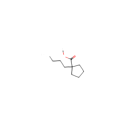 CC(C)(C)OC(=O)C1(CCCC(=O)O)CCCC1